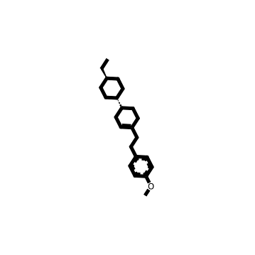 CC[C@H]1CC[C@H](C2CC=C(CCc3ccc(OC)cc3)CC2)CC1